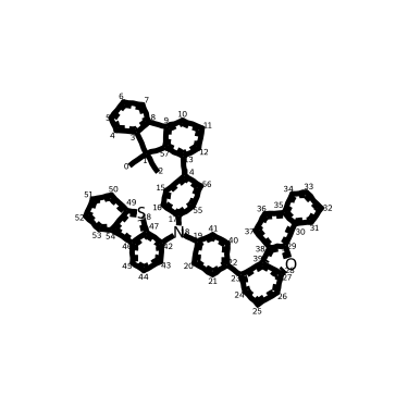 CC1(C)c2ccccc2-c2cccc(-c3ccc(N(c4ccc(-c5cccc6oc7c8ccccc8ccc7c56)cc4)c4cccc5c4sc4ccccc45)cc3)c21